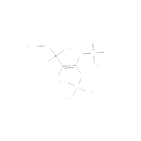 CCC(=C(O[Si](C)(C)C)O[Si](C)(C)C)C(C)(C)O[SiH3]